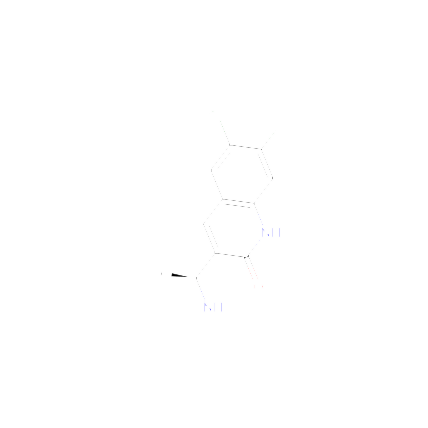 C[C@H](N)c1cc2cc(Cl)c(F)cc2[nH]c1=O